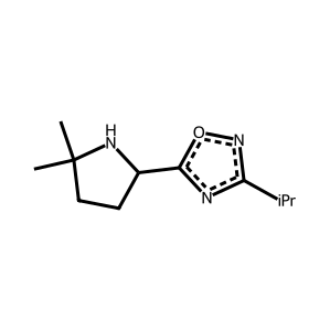 CC(C)c1noc(C2CCC(C)(C)N2)n1